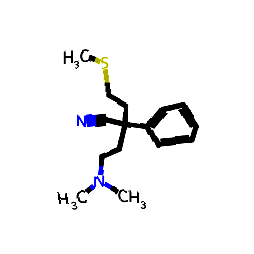 CSCCC(C#N)(CCN(C)C)c1ccccc1